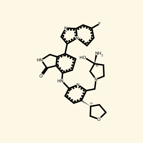 N[C@@]1(O)CCN(Cc2nc(Nc3ccc(-c4cnc5cc(F)ccn45)c4c3C(=O)NC4)ccc2[C@@H]2CCOC2)C1